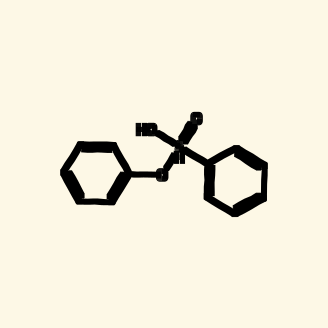 O=[SH](O)(Oc1ccccc1)c1ccccc1